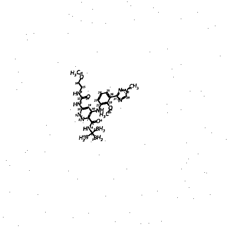 BC(B)(B)NC(=O)c1nnc(NC(=O)NCCOC)cc1Nc1cccc(-c2ncn(C)n2)c1OC